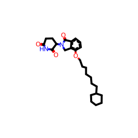 O=C1CCC(N2Cc3c(OCCCCCCCC4CCCCC4)cccc3C2=O)C(=O)N1